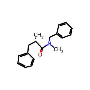 C[C@@H](Cc1ccccc1)C(=O)N(C)Cc1ccccc1